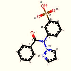 O=C(c1ccccc1)N(c1cc[c]c(S(=O)(=O)O)c1)n1cccn1